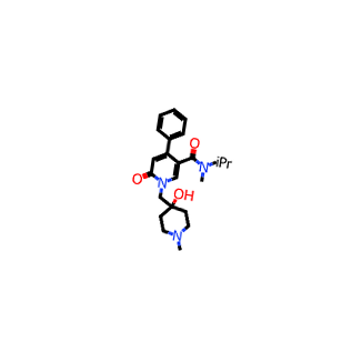 CC(C)N(C)C(=O)c1cn(CC2(O)CCN(C)CC2)c(=O)cc1-c1ccccc1